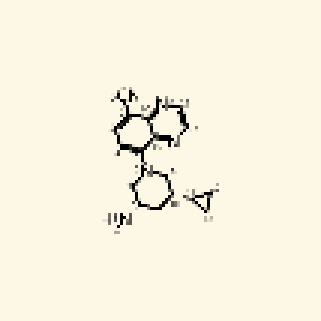 N#Cc1ccc(N2C[C@@H](N)C[C@@H](C3CC3)C2)c2nccnc12